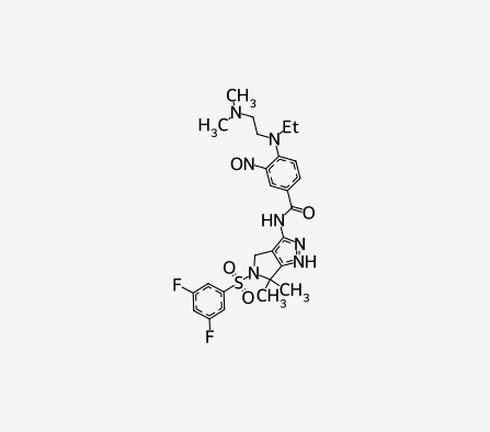 CCN(CCN(C)C)c1ccc(C(=O)Nc2n[nH]c3c2CN(S(=O)(=O)c2cc(F)cc(F)c2)C3(C)C)cc1N=O